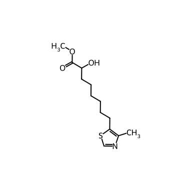 COC(=O)C(O)CCCCCCc1scnc1C